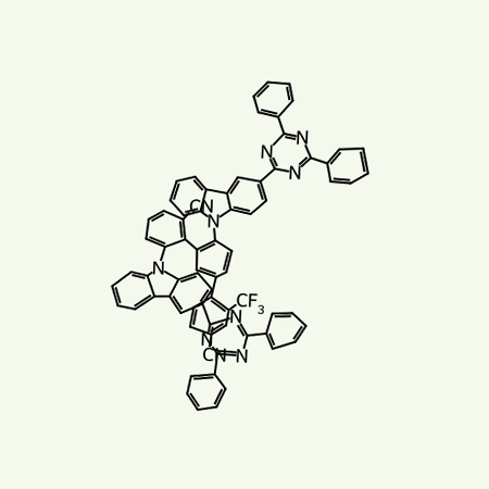 N#Cc1ccc(-c2ccc(-n3c4ccccc4c4cc(-c5nc(-c6ccccc6)nc(-c6ccccc6)n5)ccc43)c(-c3c(C#N)cccc3-n3c4ccccc4c4cc(-c5nc(-c6ccccc6)nc(-c6ccccc6)n5)ccc43)c2)c(C(F)(F)F)c1